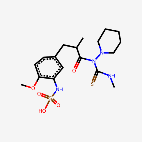 CNC(=S)N(C(=O)C(C)Cc1ccc(OC)c(NS(=O)(=O)O)c1)N1CCCCC1